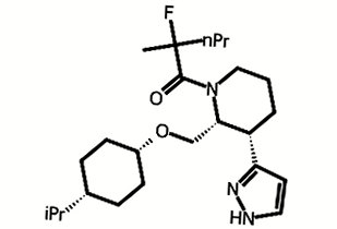 CCCC(C)(F)C(=O)N1CCC[C@H](c2cc[nH]n2)[C@@H]1CO[C@H]1CC[C@@H](C(C)C)CC1